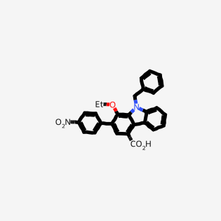 CCOc1c(-c2ccc([N+](=O)[O-])cc2)cc(C(=O)O)c2c3ccccc3n(Cc3ccccc3)c12